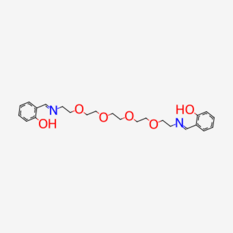 Oc1ccccc1C=NCCOCCOCCOCCOCCN=Cc1ccccc1O